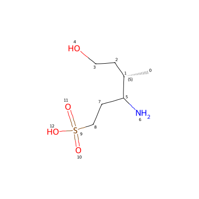 C[C@@H](CCO)C(N)CCS(=O)(=O)O